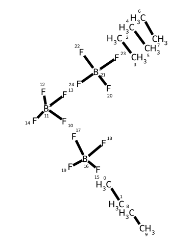 CC.CC.CC.CC.CC.F[B-](F)(F)F.F[B-](F)(F)F.F[B-](F)(F)F